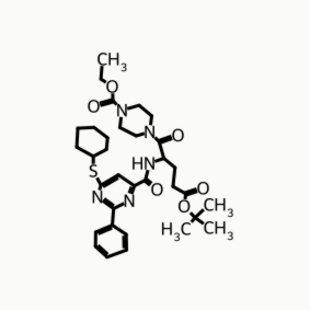 CCOC(=O)N1CCN(C(=O)C(CCC(=O)OC(C)(C)C)NC(=O)c2cc(SC3CCCCC3)nc(-c3ccccc3)n2)CC1